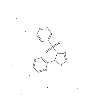 O=S(=O)(c1ccccc1)C1N=COC1c1ccccn1